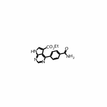 CCOC(=O)c1c[nH]c2ncnc(-c3ccc(C(N)=O)cc3)c12